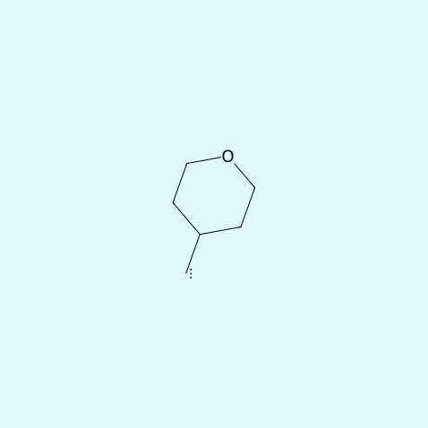 [C]C1CCOCC1